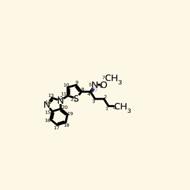 CCCC/C(=N\OC)c1ccc(-n2cnc3ccccc32)s1